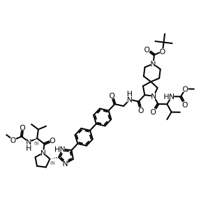 COC(=O)NC(C(=O)N1CC2(CCN(C(=O)OC(C)(C)C)CC2)CC1C(=O)NCC(=O)c1ccc(-c2ccc(-c3cnc([C@@H]4CCCN4C(=O)[C@@H](NC(=O)OC)C(C)C)[nH]3)cc2)cc1)C(C)C